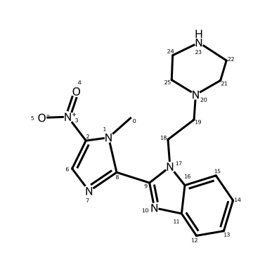 Cn1c([N+](=O)[O-])cnc1-c1nc2ccccc2n1CCN1CCNCC1